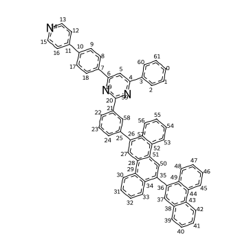 c1ccc(-c2cc(-c3ccc(-c4ccncc4)cc3)nc(-c3cccc(-c4cc5c6ccccc6c(-c6cc7ccccc7c7ccccc67)cc5c5ccccc45)c3)n2)cc1